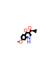 COc1ccc2c(=O)c(C(=O)C3CC3)c[nH]c2c1